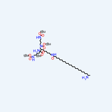 CC(N)CCCCCCCCCCCCCCCCCCCCCC(=O)NCCCCCCC(CN(CCCCNC(=O)OC(C)(C)C)C(=O)OC(C)(C)C)C(N)(CCCCNC(=O)OC(C)(C)C)C(=O)OC(C)(C)C